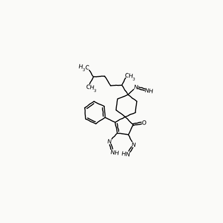 CC(C)CCC(C)C1(N=N)CCC2(CC1)C(=O)C(N=N)C(N=N)=C2c1ccccc1